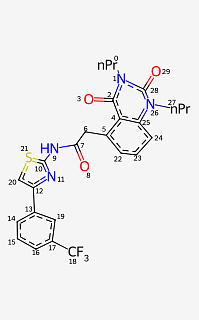 CCCn1c(=O)c2c(CC(=O)Nc3nc(-c4cccc(C(F)(F)F)c4)cs3)cccc2n(CCC)c1=O